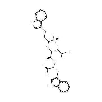 CC(C)C[C@H](NC(CCc1c[nH]c2ccccc12)P(=O)(O)O)C(=O)N[C@@H](Cc1c[nH]c2ccccc12)C(=O)O